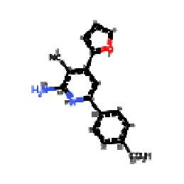 N#Cc1c(-c2ccco2)cc(-c2ccc(C(=O)O)cc2)nc1N